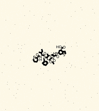 CCC(C)C(NC(=O)C1CCCCN1C)C(=O)N(Cc1ccccc1)[C@H](C[C@@H](OC(C)=O)c1nc(C(=O)N[C@H]2Cc3sccc3[C@H](C(=O)O)C2)cs1)C(C)C